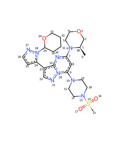 C[C@@H]1COCCN1c1cc(N2CCN(S(C)(=O)=O)CC2)n2ncc(-c3ccnn3C3CCCCO3)c2n1